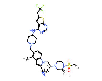 Cc1c(CN2CCC(Nc3ncnc4sc(CC(F)(F)F)cc34)CC2)ccc2c1cc(C#N)n2C[C@H](C)N1CCN(S(C)(=O)=O)[C@@H](C)C1